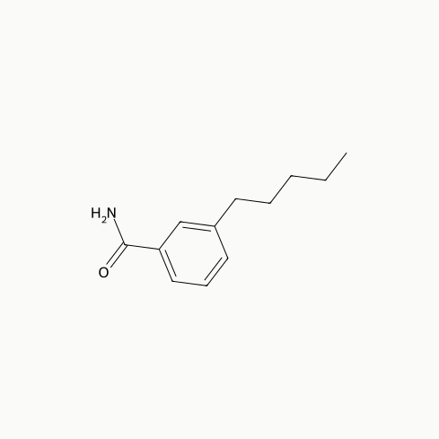 CCCCCc1cccc(C(N)=O)c1